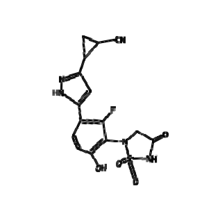 N#CC1CC1c1cc(-c2ccc(O)c(N3CC(=O)NS3(=O)=O)c2F)[nH]n1